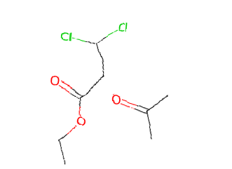 CC(C)=O.CCOC(=O)CC(Cl)Cl